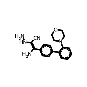 N#C/C(NN)=C(/N)c1ccc(-c2ccccc2N2CCOCC2)cc1